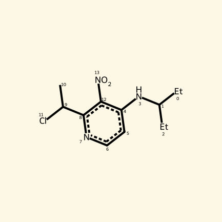 CCC(CC)Nc1ccnc(C(C)Cl)c1[N+](=O)[O-]